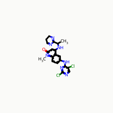 CC(Nc1cc(=O)n(C)c2ccc(Nc3nc(Cl)ncc3Cl)cc12)C1=NCCC=N1